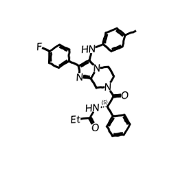 CCC(=O)N[C@H](C(=O)N1CCn2c(nc(-c3ccc(F)cc3)c2Nc2ccc(C)cc2)C1)c1ccccc1